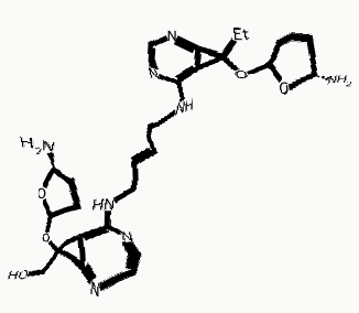 CCC1(OC2CC[C@H](N)O2)c2ncnc(NC/C=C/CNc3ncnc4c3C4(CO)OC3CC[C@H](N)O3)c21